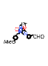 COc1ccc(CCN2C(=O)N(CC(C)C)C(=O)C23CCN(c2cccc(CC=O)c2)CC3)cc1